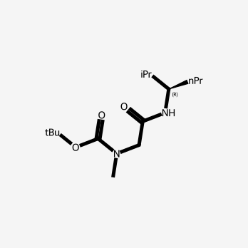 CCC[C@@H](NC(=O)CN(C)C(=O)OC(C)(C)C)C(C)C